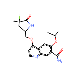 CC(C)Oc1cc2c(OCC3C[C@](C)(F)C(=O)N3)ccnc2cc1C(N)=O